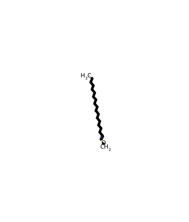 [CH2]O/C=C/CCCCCCCCCCCCCCCCC